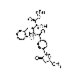 CCCCOC(=O)[C@H](O)[C@@H](Cc1ccccc1Cl)NC(=O)c1ccc(N2N=C(C)CC2=O)cc1